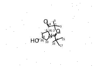 CC(C)(C)C(=O)[C@H]1C[C@@H](O)CN1C(=O)C(C)(C)C